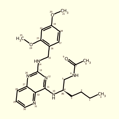 CCCC[C@H](CNC(C)=O)Nc1nc(NCc2ccc(OC)cc2OC)nc2cccnc12